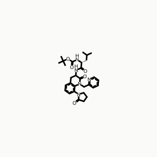 CC(C)C[C@@H](NC(=O)OC(C)(C)C)C(=O)NC1Cc2cccc(N3CCCC3=O)c2N(Cc2ccccn2)C1=O